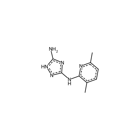 Cc1ccc(C)c(Nc2n[nH]c(N)n2)n1